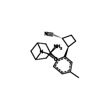 Cc1ccc(C2(C)CC3CC(C2)N3C(N)=O)c([C@@H]2CC[C@H]2C#N)c1